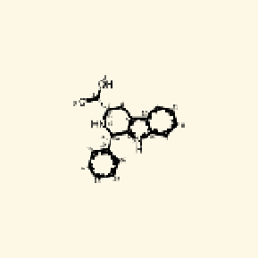 O=C(O)[C@@H]1Cc2c([nH]c3ccccc23)[C@@H](c2ccccc2)N1